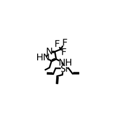 C=CC[Si](CC=C)(CC=C)Nc1c(C(F)(F)F)n[nH]c1CC